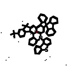 CC(C)(C)c1ccc2c(c1)C(C)(C)C1=CCCC(c3ccccc3N(c3ccc4c(c3)C3(c5ccccc5-c5ccccc53)c3ccccc3-4)c3cccc4sc5ccccc5c34)=C12